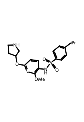 COc1nc(OC2CCNC2)ccc1NS(=O)(=O)c1ccc(C(C)C)cc1